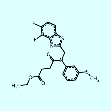 CCOC(=O)CCC(=O)N(Cc1nc2c(F)c(F)ccc2s1)c1cccc(SC)c1